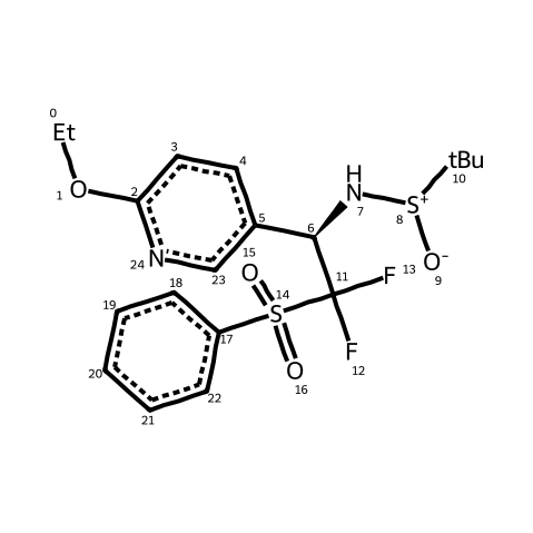 CCOc1ccc([C@@H](N[S+]([O-])C(C)(C)C)C(F)(F)S(=O)(=O)c2ccccc2)cn1